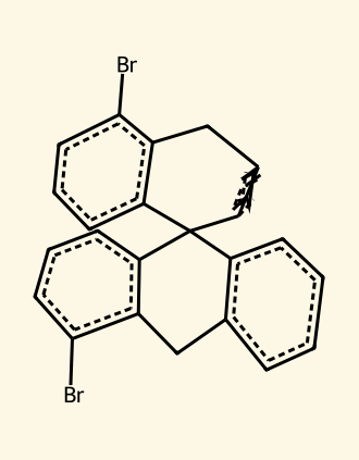 Brc1cccc2c1Cc1ccccc1C21c2ccccc2Cc2c(Br)cccc21